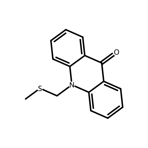 CSCn1c2ccccc2c(=O)c2ccccc21